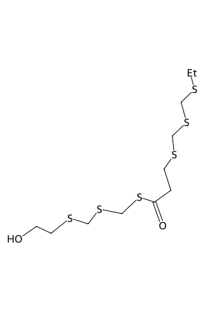 CCSCSCSCCC(=O)SCSCSCCO